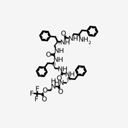 N[C@@H](CNC(=O)N[C@@H](CNC(=O)N[C@@H](CNC(=O)N[C@@H](CNC(=O)NCOC(=O)C(F)(F)F)Cc1ccccc1)Cc1ccccc1)Cc1ccccc1)Cc1ccccc1